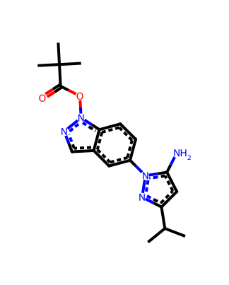 CC(C)c1cc(N)n(-c2ccc3c(cnn3OC(=O)C(C)(C)C)c2)n1